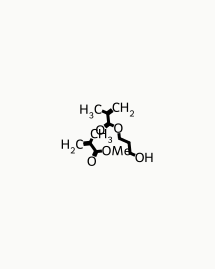 C=C(C)C(=O)OC.C=C(C)C(=O)OCCCO